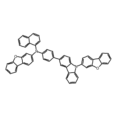 c1ccc2c(N(c3ccc(-c4ccc5c(c4)c4ccccc4n5-c4ccc5c(c4)oc4ccccc45)cc3)c3ccc4c(c3)oc3ccccc34)cccc2c1